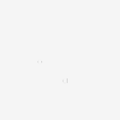 CC(C)C([O])Cl